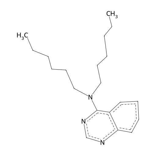 CCCCCCN(CCCCCC)c1ncnc2ccccc12